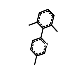 Cc1ccc(-c2c(C)cccc2C)nc1